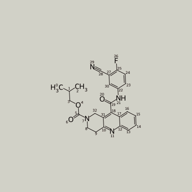 CC(C)COC(=O)N1CCc2nc3ccccc3c(C(=O)Nc3ccc(F)c(C#N)c3)c2C1